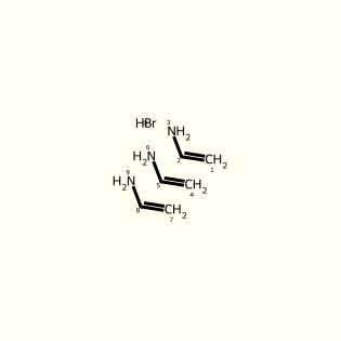 Br.C=CN.C=CN.C=CN